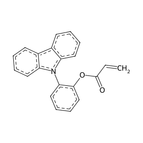 C=CC(=O)Oc1ccccc1-n1c2ccccc2c2ccccc21